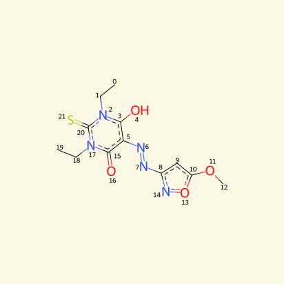 CCn1c(O)c(N=Nc2cc(OC)on2)c(=O)n(CC)c1=S